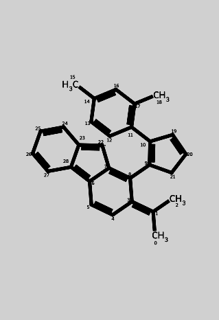 CC(C)=c1ccc2c(c1C1=C(c3ccc(C)cc3C)C=CC1)[C]=c1ccccc1=2